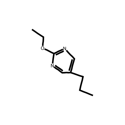 CCCc1cnc(OCC)nc1